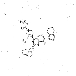 C=CC(=O)N1CCN(c2nc(OCC34CCCN3CCC4)nc3c(F)c(-c4cccc5c4CCCC5)ccc23)[C@@H](C)C1